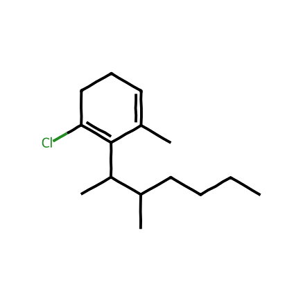 CCCCC(C)C(C)C1=C(Cl)CCC=C1C